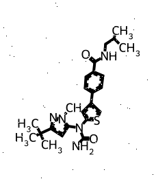 CC(C)CNC(=O)c1ccc(-c2csc(N(C(N)=O)c3cc(C(C)(C)C)nn3C)c2)cc1